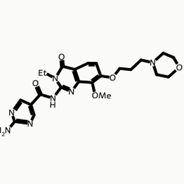 CCn1c(NC(=O)c2cnc(N)nc2)nc2c(OC)c(OCCCN3CCOCC3)ccc2c1=O